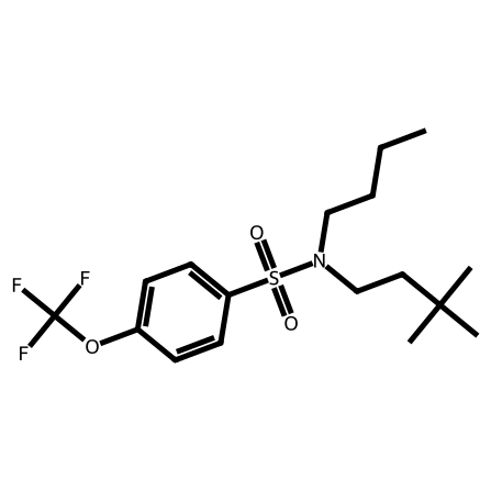 CCCCN(CCC(C)(C)C)S(=O)(=O)c1ccc(OC(F)(F)F)cc1